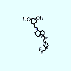 C[C@H](CN1CC[C@H](CC(F)F)C1)[C@H]1CCC2/C(=C/C=C3C[C@@H](O)C[C@H](O)C3)CCC[C@@]21C